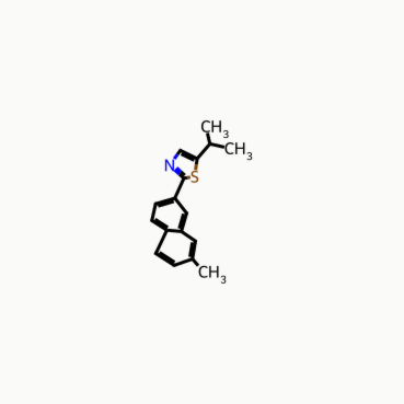 Cc1ccc2ccc(-c3ncc(C(C)C)s3)cc2c1